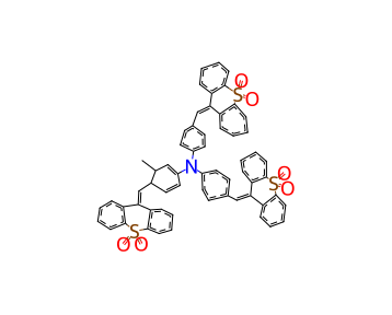 CC1C=C(N(c2ccc(C=C3c4ccccc4S(=O)(=O)c4ccccc43)cc2)c2ccc(C=C3c4ccccc4S(=O)(=O)c4ccccc43)cc2)C=CC1C=C1c2ccccc2S(=O)(=O)c2ccccc21